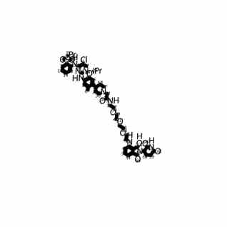 Cc1cc(Nc2ncc(Cl)c(Nc3ccccc3S(=O)(=O)C(C)C)n2)c(OC(C)C)cc1C1CCN(CC(=O)NCCOCCOCCOCCNc2cccc3c2C(O)N(C2CCC(=O)NC2=O)C3=O)CC1